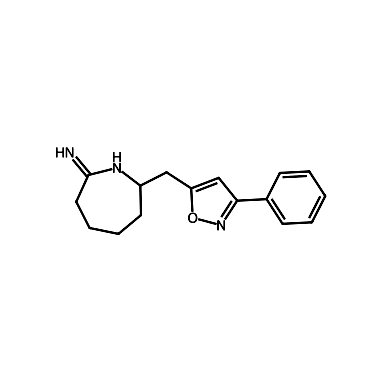 N=C1CCCCC(Cc2cc(-c3ccccc3)no2)N1